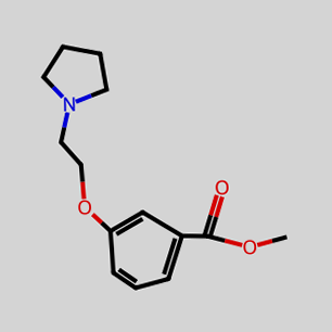 COC(=O)c1cccc(OCCN2CCCC2)c1